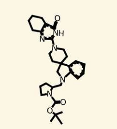 CC(C)(C)OC(=O)N1CCCC1CN1CC2(CCN(c3nc4c(c(=O)[nH]3)CCCC4)CC2)c2ccccc21